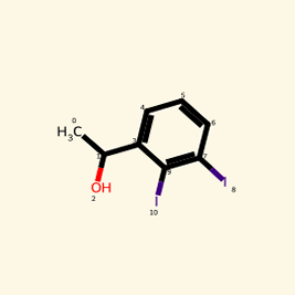 CC(O)c1cccc(I)c1I